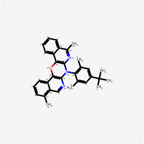 Cc1cc(C(C)(C)C)cc(C)c1N1c2ncc3c(C)cccc3c2Oc2c1nc(C)c1ccccc21